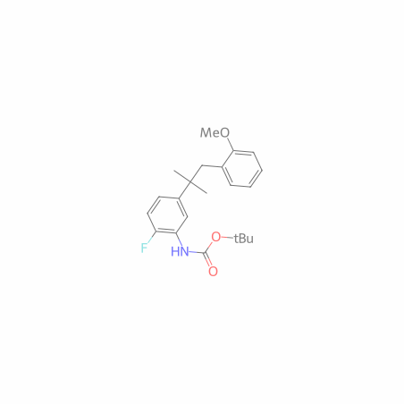 COc1ccccc1CC(C)(C)c1ccc(F)c(NC(=O)OC(C)(C)C)c1